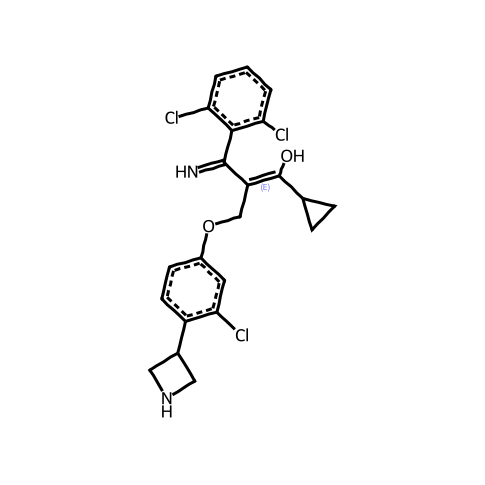 N=C(/C(COc1ccc(C2CNC2)c(Cl)c1)=C(\O)C1CC1)c1c(Cl)cccc1Cl